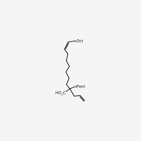 C=CCC(CCCCC)(CCCCCC/C=C\CCCCCCCC)C(=O)O